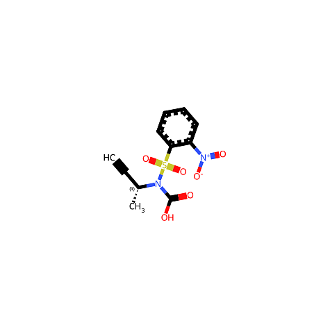 C#C[C@@H](C)N(C(=O)O)S(=O)(=O)c1ccccc1[N+](=O)[O-]